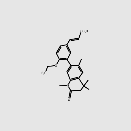 Cc1cc2c(cc1-c1cc(C=CC(=O)O)ccc1OCC(F)(F)F)N(C)C(=O)CC2(C)C